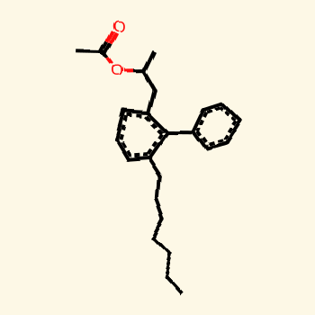 CCCCCCCc1cccc(CC(C)OC(C)=O)c1-c1ccccc1